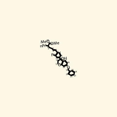 CCCC(CC/C=C/c1ccc(C2(O)CCOc3cc(OCc4ccccc4)ccc32)cc1F)C(OC)OC